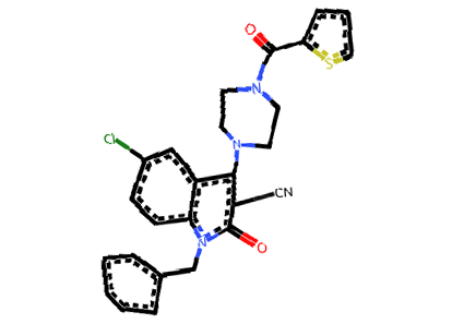 N#Cc1c(N2CCN(C(=O)c3cccs3)CC2)c2cc(Cl)ccc2n(Cc2ccccc2)c1=O